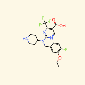 CCOc1cc(CN(c2ncc(C(=O)O)c(C(F)(F)F)n2)C2CCNCC2)ccc1F